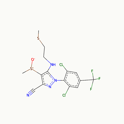 CSCCNc1c([S+](C)[O-])c(C#N)nn1-c1c(Cl)cc(C(F)(F)F)cc1Cl